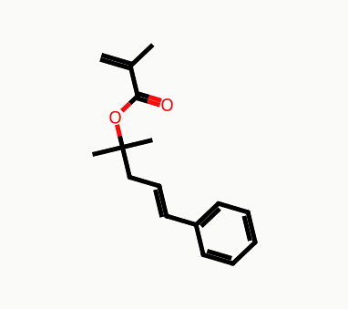 C=C(C)C(=O)OC(C)(C)CC=Cc1ccccc1